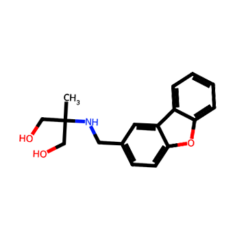 CC(CO)(CO)NCc1ccc2oc3ccccc3c2c1